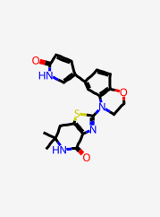 CC1(C)Cc2sc(N3CCOc4ccc(-c5ccc(=O)[nH]c5)cc43)nc2C(=O)N1